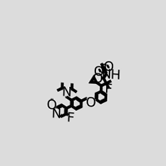 COc1cc(-c2ccc(COc3cccc(C(C4CC4)C(C)(F)C(=O)NS(C)(=O)=O)c3)cc2CN(C(C)C)C(C)C)c(F)cn1